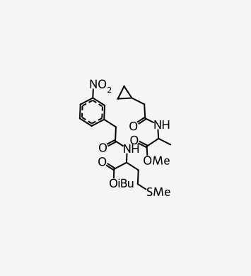 COC(=O)C(C)NC(=O)CC1CC1.CSCCC(NC(=O)Cc1cccc([N+](=O)[O-])c1)C(=O)OCC(C)C